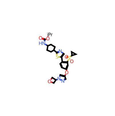 CC(C)OC(=O)NC1CCC(c2ncc(-c3ccc(Oc4cnn(C5COC5)c4)cc3S(=O)(=O)C3CC3)s2)CC1